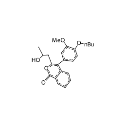 CCCCOc1ccc(-c2c(CC(C)O)oc(=O)c3ccccc23)cc1OC